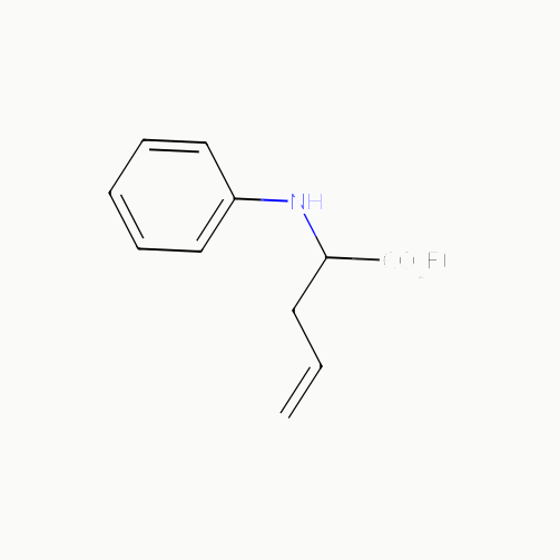 C=CCC(Nc1ccccc1)C(=O)OCC